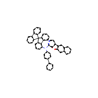 c1ccc(-c2ccc(N(c3cccc4c3-c3ccccc3C43c4ccccc4-c4ccccc43)c3nccc4c3oc3cc5ccccc5cc34)cc2)cc1